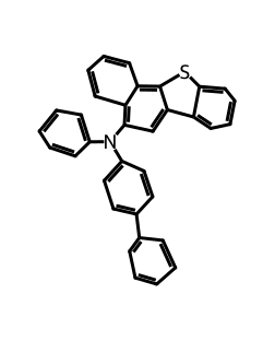 c1ccc(-c2ccc(N(c3ccccc3)c3cc4c5ccccc5sc4c4ccccc34)cc2)cc1